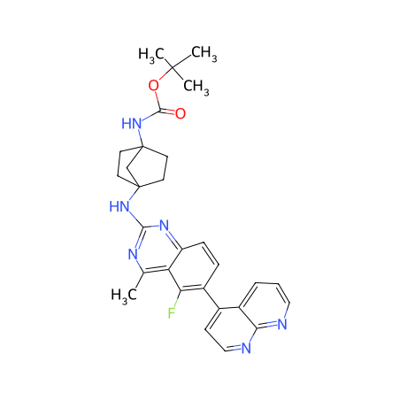 Cc1nc(NC23CCC(NC(=O)OC(C)(C)C)(CC2)C3)nc2ccc(-c3ccnc4ncccc34)c(F)c12